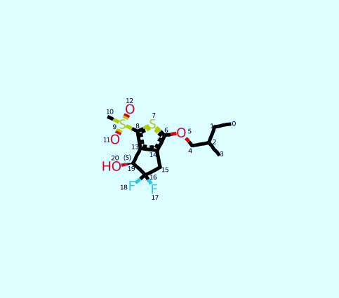 CCC(C)COc1sc(S(C)(=O)=O)c2c1CC(F)(F)[C@H]2O